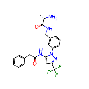 C[C@H](N)C(=O)NCc1cccc(-n2nc(C(F)(F)F)cc2NC(=O)Cc2ccccc2)c1